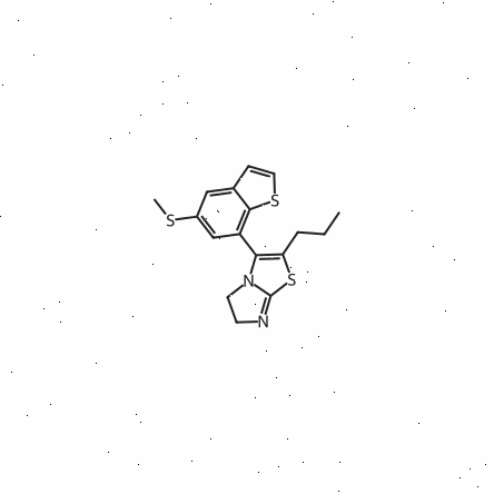 CCCC1=C(c2cc(SC)cc3ccsc23)N2CCN=C2S1